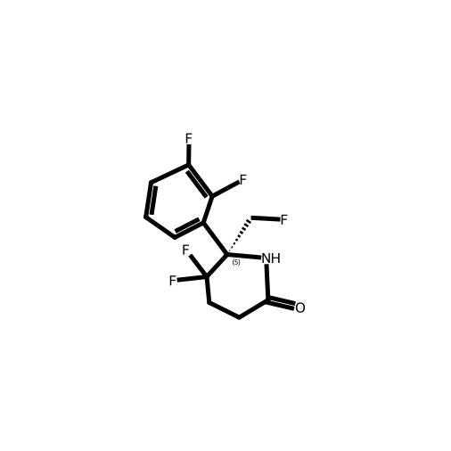 O=C1CCC(F)(F)[C@@](CF)(c2cccc(F)c2F)N1